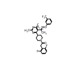 C/C(=N\Oc1cccc(C(F)(F)F)c1)c1c(C)nc(C)nc1C1CCN(C(=O)Cc2c(F)cccc2F)CC1